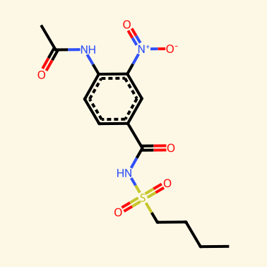 CCCCS(=O)(=O)NC(=O)c1ccc(NC(C)=O)c([N+](=O)[O-])c1